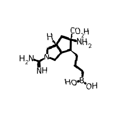 N=C(N)N1CC2[C@H](C1)C[C@@](N)(C(=O)O)[C@H]2CCCB(O)O